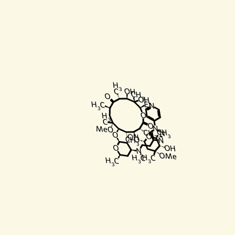 CC[C@H]1OC(=O)[C@H](C)[C@@H](O[C@H]2C[C@@](C)(OC)[C@@H](O)[C@H](C)O2)[C@H](C)[C@@H](O[C@@H]2O[C@H](C)C[C@H](N(C)CCc3cn(-c4ccncc4)nn3)[C@H]2O)[C@](C)(OC)C[C@@H](C)C(=O)[C@H](C)[C@@H](O)[C@]1(C)O